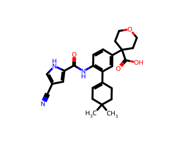 CC1(C)CC=C(c2cc(C3(C(=O)O)CCOCC3)ccc2NC(=O)c2cc(C#N)c[nH]2)CC1